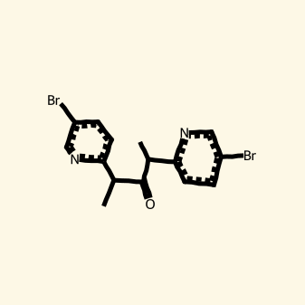 CC(C(=O)C(C)c1ccc(Br)cn1)c1ccc(Br)cn1